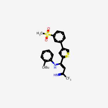 CC(C)COc1ccccc1N/C(=C\C(=N)C(F)(F)F)c1cc(-c2cccc(S(C)(=O)=O)c2)cs1